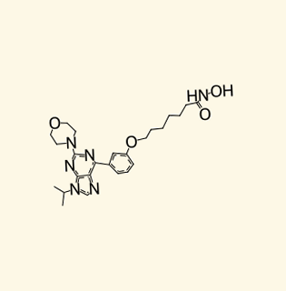 CC(C)n1cnc2c(-c3cccc(OCCCCCCC(=O)NO)c3)nc(N3CCOCC3)nc21